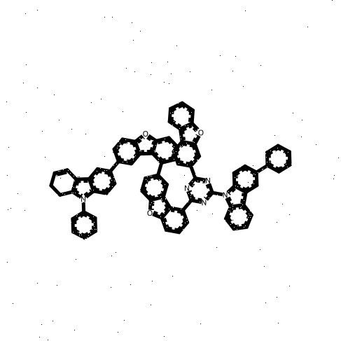 C1=Cc2c(n(-c3ccccc3)c3ccc(-c4ccc5oc6cccc(-c7ccc8oc9cccc(-c%10nc(-c%11ccc%12c(c%11)oc%11ccccc%11%12)nc(-n%11c%12ccccc%12c%12cc(-c%13ccccc%13)ccc%12%11)n%10)c9c8c7)c6c5c4)cc23)CC1